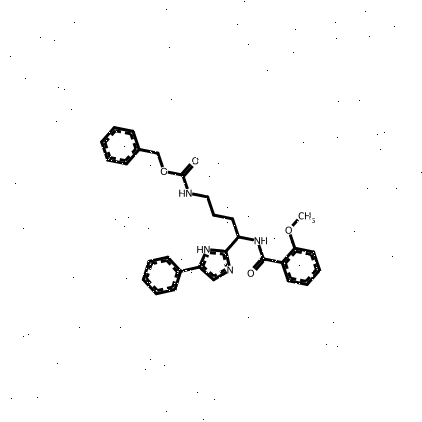 COc1ccccc1C(=O)NC(CCCNC(=O)OCc1ccccc1)c1ncc(-c2ccccc2)[nH]1